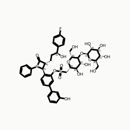 O=C1[C@H](CC[C@H](O)c2ccc(F)cc2)[C@@H](c2ccc(-c3cccc(O)c3)cc2OS(=O)(=O)C[C@@H]2O[C@H](CO)C(O[C@@H]3O[C@H](CO)[C@@H](O)[C@H](O)[C@H]3O)[C@H](O)[C@H]2O)N1c1ccccc1